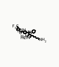 Cl.NCCCC/C=C/c1cnc(N)c2c(-c3ccc(C(=O)Nc4cc(C(F)(F)F)ccn4)cc3)nn(C3CCCCC3)c12